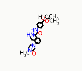 CN1CCN(c2cccc3c2CCNC3C(=O)Nc2ccc(C(=O)OC(C)(C)C)cc2)CC1=O